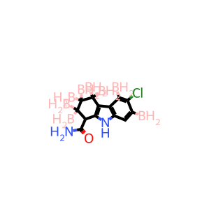 Bc1cc2[nH]c3c(c2c(B)c1Cl)C(B)(B)C(B)(B)C(B)(B)C3C(N)=O